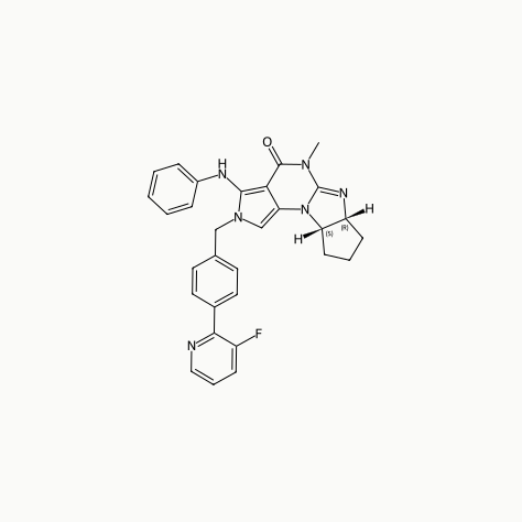 CN1C(=O)c2c(cn(Cc3ccc(-c4ncccc4F)cc3)c2Nc2ccccc2)N2C1=N[C@@H]1CCC[C@@H]12